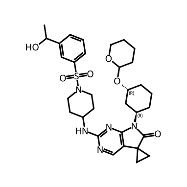 CC(O)c1cccc(S(=O)(=O)N2CCC(Nc3ncc4c(n3)N([C@@H]3CCC[C@@H](OC5CCCCO5)C3)C(=O)C43CC3)CC2)c1